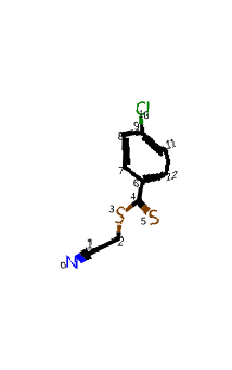 N#CCSC(=S)c1ccc(Cl)cc1